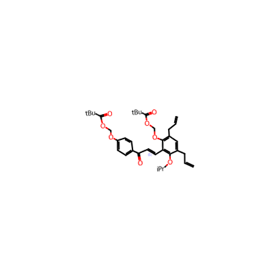 C=CCc1cc(CC=C)c(OC(C)C)c(/C=C/C(=O)c2ccc(OCOC(=O)C(C)(C)C)cc2)c1OCOC(=O)C(C)(C)C